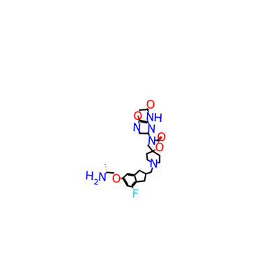 C[C@@H](N)COc1cc(F)c2c(c1)CC(CN1CCC3(CC1)CN(c1cnc4c(n1)NC(=O)CO4)C(=O)O3)C2